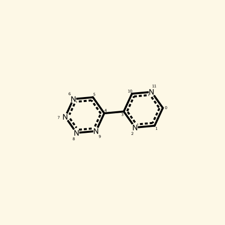 c1cnc(-c2cnnnn2)cn1